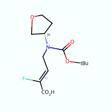 CC(C)(C)OC(=O)N(C/C=C(\F)C(=O)O)[C@H]1CCOC1